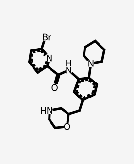 O=C(Nc1cc(CC2CNCCO2)ccc1N1CCCCC1)c1cccc(Br)n1